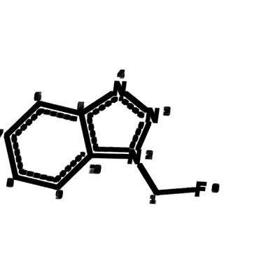 FCn1nnc2ccccc21